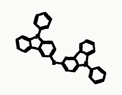 c1ccc(-n2c3ccccc3c3cc(Sc4ccc5c(c4)c4ccccc4n5-c4ccccc4)ccc32)cc1